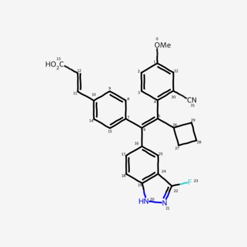 COc1ccc(C(=C(c2ccc(C=CC(=O)O)cc2)c2ccc3[nH]nc(F)c3c2)C2CCC2)c(C#N)c1